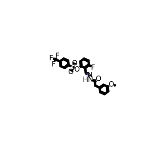 COc1cccc(CC(=O)N/N=C/c2c(F)cccc2OS(=O)(=O)c2ccc(C(F)(F)F)cc2)c1